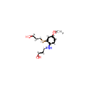 COc1ccc(NCCCO)c(SCCCO)c1